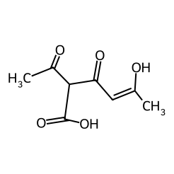 CC(=O)C(C(=O)O)C(=O)C=C(C)O